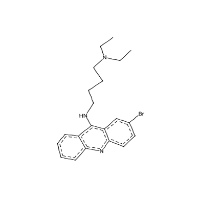 CCN(CC)CCCCNc1c2ccccc2nc2ccc(Br)cc12